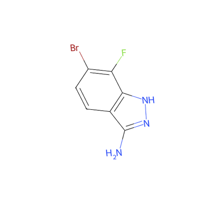 Nc1n[nH]c2c(F)c(Br)ccc12